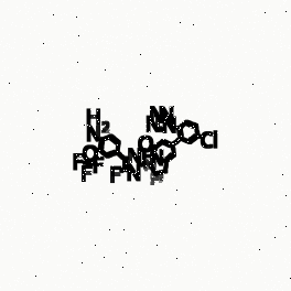 C[C@H]1Cc2cc(-c3cc(Cl)ccc3-n3cnnn3)cc(=O)n2[C@@H]1c1nc(F)c(-c2ccc(N)c(OC(F)(F)F)c2)[nH]1